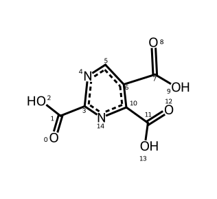 O=C(O)c1ncc(C(=O)O)c(C(=O)O)n1